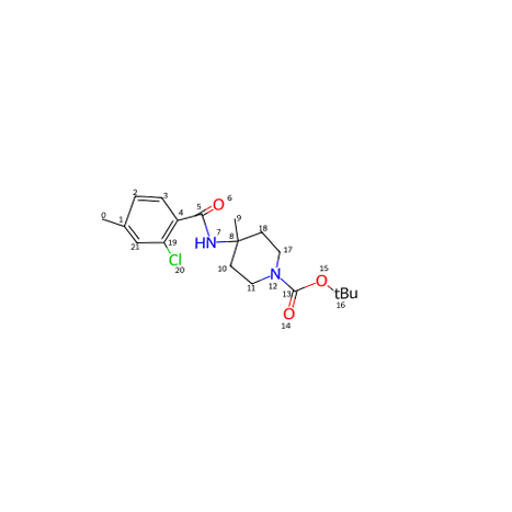 Cc1ccc(C(=O)NC2(C)CCN(C(=O)OC(C)(C)C)CC2)c(Cl)c1